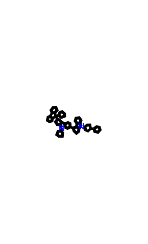 C1=CC(c2ccccc2)CC=C1n1c2ccccc2c2c(-c3ccc4c5cc(C6(c7ccccc7)c7ccccc7-c7ccccc76)ccc5n(-c5ccccc5)c4c3)cccc21